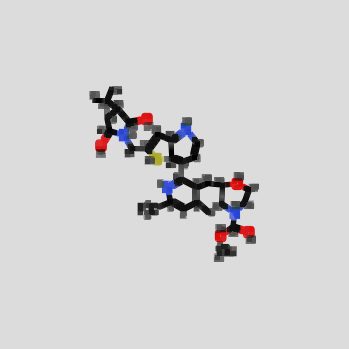 Cc1cc(C(F)(F)F)nc(-c2ccnc3cc(CN4C(=O)C5C(C4=O)C5(C)C)sc23)c1CC1CN(C(=O)OC(C)(C)C)CCO1